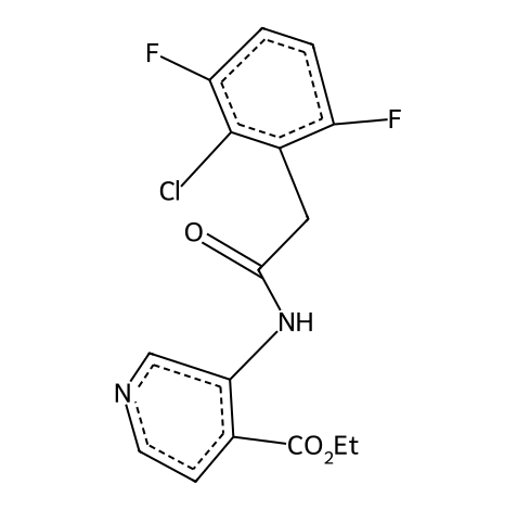 CCOC(=O)c1ccncc1NC(=O)Cc1c(F)ccc(F)c1Cl